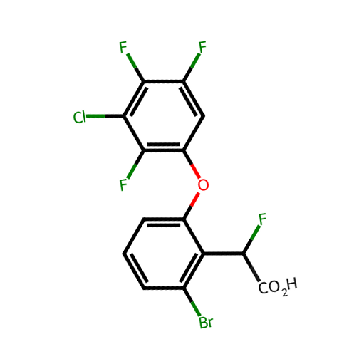 O=C(O)C(F)c1c(Br)cccc1Oc1cc(F)c(F)c(Cl)c1F